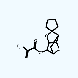 C=C(C(=O)OC1C2CC3C(O2)C1OC31CCCC1)C(F)(F)F